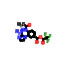 CC(=O)Nc1ccc(C(=O)OC(=O)C(F)(F)F)cc1-n1ccnc1N